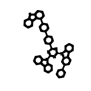 c1ccc(-c2ccc3c4ccccc4n(-c4nc(-c5ccc(-c6ccc(-c7cccc8sc9ccccc9c78)cc6)cc5)nc(-n5c6ccccc6c6ccccc65)n4)c3c2)cc1